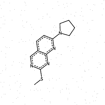 CSc1ncc2ccc(N3CCCC3)nc2n1